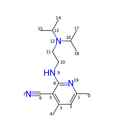 Cc1cc(C)c(C#N)c(NCCN(C(C)C)C(C)C)n1